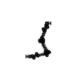 O=C(CCC(=O)OCCCCCCOC(=O)C1CCCN1C(=O)CCCCCCCCC(=O)N1CCCC1C(=O)OCCCCCCOC(=O)CCC(=O)OCO)OCO